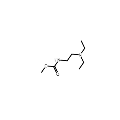 CCN(CC)CCNC(=O)OC